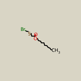 CCCCCCCCCCCOC(=O)CCSCCBr